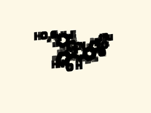 CC(C)(C)N1Cc2cc(Nc3nn(C4(CC#N)CCN(C(=O)O)CC4F)c4cc[nH]c(=O)c34)ccc2S1(=O)=O